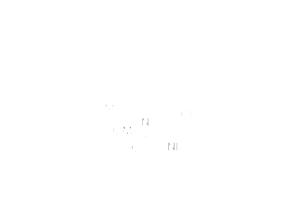 COC(=O)C(c1ccccc1)N1C(=O)C(N)C1CO